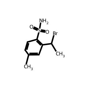 Cc1ccc(S(N)(=O)=O)c(C(C)Br)c1